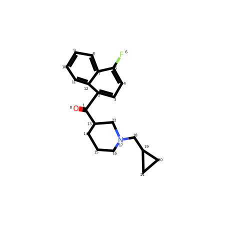 O=C(c1ccc(F)c2ccccc12)C1CCCN(CC2CC2)C1